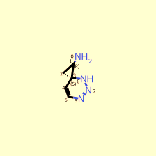 N[C@@H]1C[C@]12C=CN=NN2